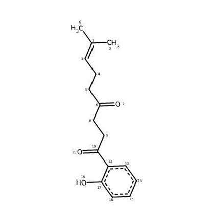 CC(C)=CCCC(=O)CCC(=O)c1ccccc1O